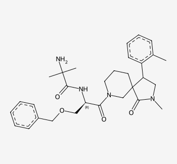 Cc1ccccc1C1CN(C)C(=O)C12CCCN(C(=O)[C@@H](COCc1ccccc1)NC(=O)C(C)(C)N)C2